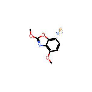 COc1nc2c(OC)cccc2o1.[N].[P]